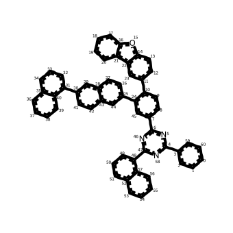 c1ccc(-c2nc(-c3ccc(-c4ccc5oc6ccccc6c5c4)c(-c4ccc5cc(-c6cccc7ccccc67)ccc5c4)c3)nc(-c3cccc4ccccc34)n2)cc1